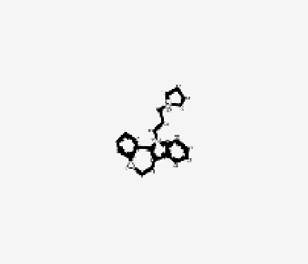 c1ccc2c(c1)OCCc1c-2n(CCCN2CCCC2)c2ccccc12